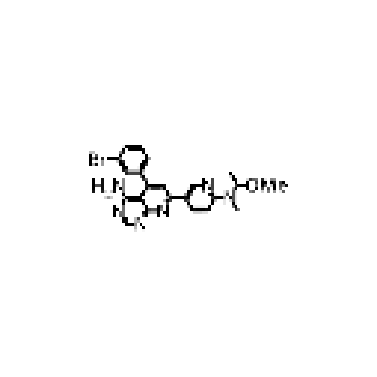 COC(C)N(C)c1ccc(-c2cc(-c3cccc(Br)c3)c3c(N)ncnc3n2)cn1